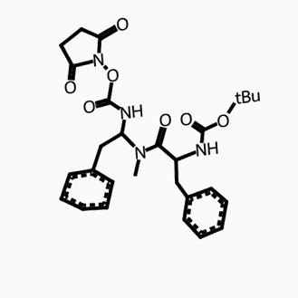 CN(C(=O)C(Cc1ccccc1)NC(=O)OC(C)(C)C)C(Cc1ccccc1)NC(=O)ON1C(=O)CCC1=O